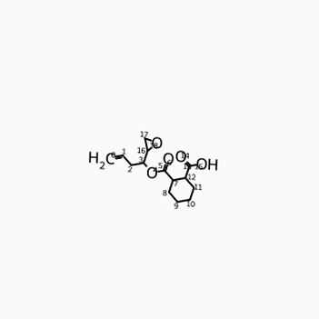 C=CCC(OC(=O)C1CCCCC1C(=O)O)C1CO1